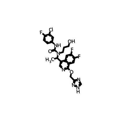 CC(c1cnc(OCc2nc[nH]n2)c2cc(F)c(F)cc12)N(CCCO)C(=O)Nc1ccc(F)c(Cl)c1